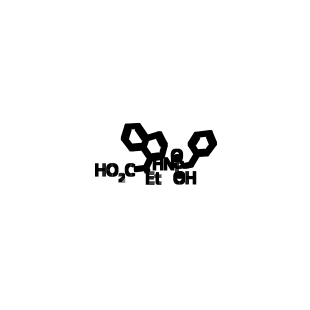 CCC(C(=O)O)c1c(NP(=O)(O)Cc2ccccc2)ccc2ccccc12